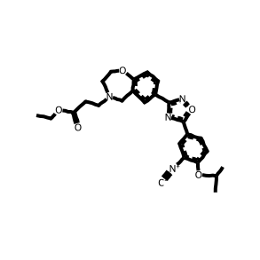 [C-]#[N+]c1cc(-c2nc(-c3ccc4c(c3)CN(CCC(=O)OCC)CCO4)no2)ccc1OC(C)C